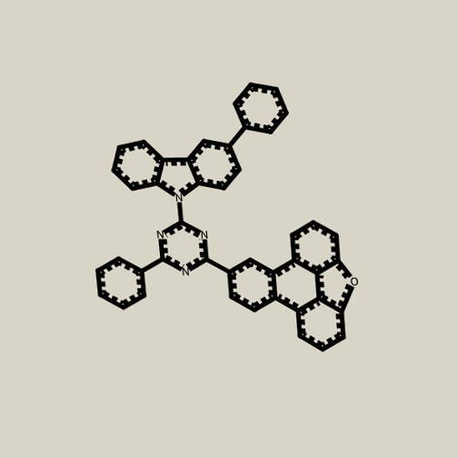 c1ccc(-c2ccc3c(c2)c2ccccc2n3-c2nc(-c3ccccc3)nc(-c3ccc4c(c3)c3cccc5oc6cccc4c6c53)n2)cc1